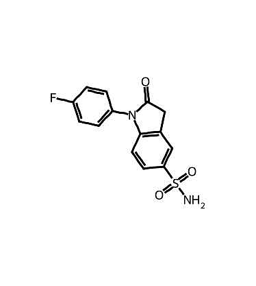 NS(=O)(=O)c1ccc2c(c1)CC(=O)N2c1ccc(F)cc1